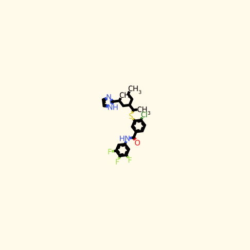 CCCC(CC(C)c1ncc[nH]1)C(C)Sc1cc(C(=O)Nc2cc(F)c(F)c(F)c2)ccc1Cl